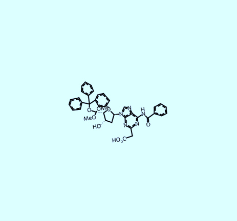 COC(OC)(OC(c1ccccc1)(c1ccccc1)c1ccccc1)[C@@H]1O[C@@H](n2cnc3c(NC(=O)c4ccccc4)nc(CC(=O)O)nc32)C[C@@H]1O